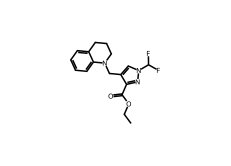 CCOC(=O)c1nn(C(F)F)cc1CN1CCCc2ccccc21